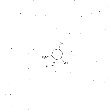 CC(C)CC1C(C)CC(C)CC1O